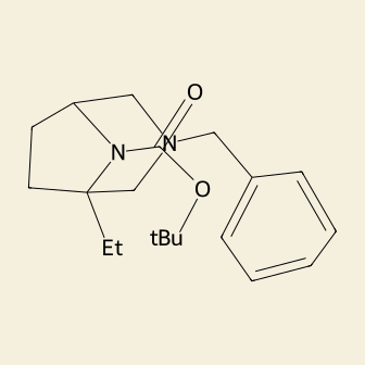 CCC12CCC(CN(Cc3ccccc3)C1)N2C(=O)OC(C)(C)C